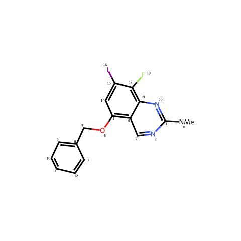 CNc1ncc2c(OCc3ccccc3)cc(I)c(F)c2n1